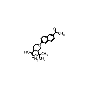 CC(=O)c1ccc2cc(N3CCN(C(=O)O)C(C(C)(C)C)C3)ccc2c1